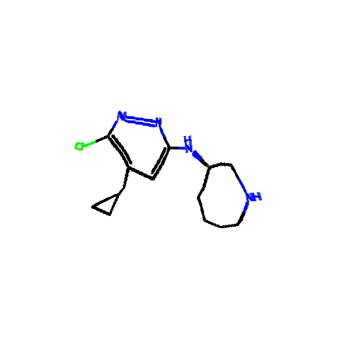 Clc1nnc(N[C@@H]2CCCNC2)cc1C1CC1